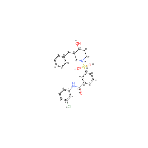 O=C(Nc1cccc(Cl)c1)c1cccc(S(=O)(=O)N2CCC(O)C(Cc3ccccc3)C2)c1